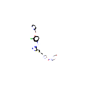 O=C(O[C@H]1CN[C@@H](C#Cc2cc3c(Nc4ccc(OCc5ccccn5)c(Cl)c4)ncnc3s2)C1)N1CCOCC1